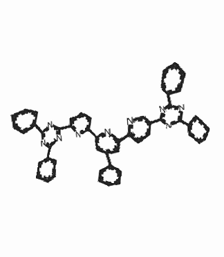 c1ccc(-c2cc(-c3ccc(-c4nc(-c5ccccc5)nc(-c5ccccc5)n4)cn3)nc(-c3cccc(-c4nc(-c5ccccc5)nc(-c5ccccc5)n4)n3)c2)cc1